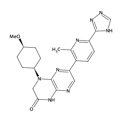 CO[C@H]1CC[C@@H](N2CC(=O)Nc3ncc(-c4ccc(-c5nnc[nH]5)nc4C)nc32)CC1